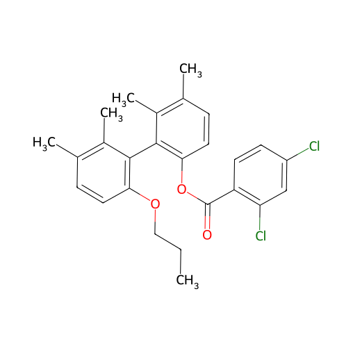 CCCOc1ccc(C)c(C)c1-c1c(OC(=O)c2ccc(Cl)cc2Cl)ccc(C)c1C